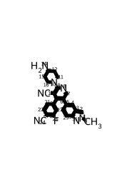 Cn1cc2cc(-c3cnc(N4CCC(N)CC4)c(C#N)c3-c3ccc(C#N)c(F)c3)ccc2n1